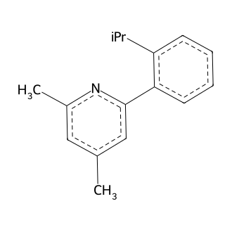 Cc1cc(C)nc(-c2ccccc2C(C)C)c1